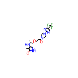 Cc1c(N[C@H](C)COCCC(=O)N2CCN(c3ncc(C(F)(F)F)cn3)CC2)cn[nH]c1=O